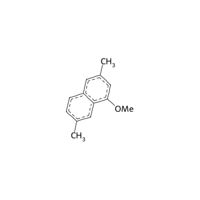 COc1cc(C)cc2ccc(C)cc12